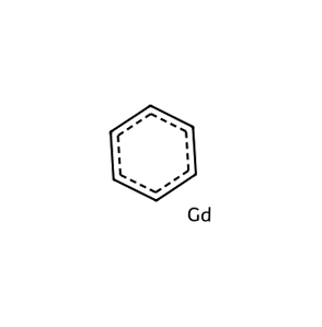 [Gd].c1ccccc1